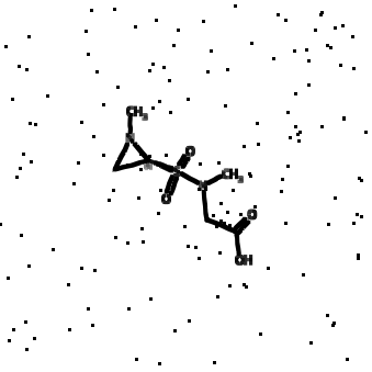 CN1C[C@@H]1S(=O)(=O)N(C)CC(=O)O